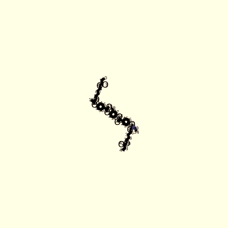 C=CC(=O)OCCCCOC(=C)Oc1ccc(C(=O)Oc2ccc(OC(=O)c3ccc(O/C(=C/C)OCCCCOC(=O)C=C)cc3)cc2C)cc1